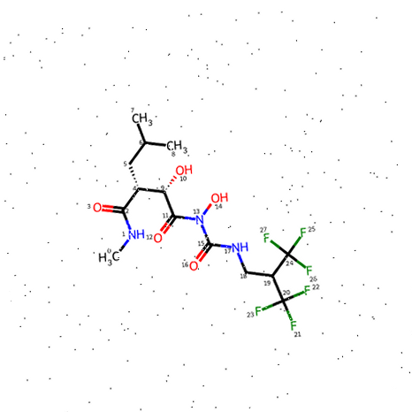 CNC(=O)[C@H](CC(C)C)[C@H](O)C(=O)N(O)C(=O)NCC(C(F)(F)F)C(F)(F)F